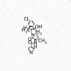 CC(C)[C@@H](NC(=O)c1ccncc1)C(=O)N1CC[C@](O)(c2ccc(Cl)cc2)C(C)(C)C1